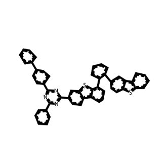 c1ccc(-c2ccc(-c3nc(-c4ccccc4)nc(-c4ccc5c(c4)sc4c(-c6ccccc6-c6ccc7sc8ccccc8c7c6)cccc45)n3)cc2)cc1